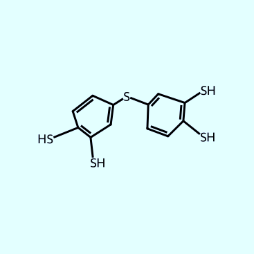 Sc1ccc(Sc2ccc(S)c(S)c2)cc1S